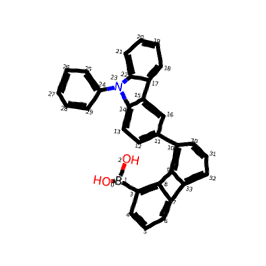 OB(O)c1cccc2c1-c1c(-c3ccc4c(c3)c3ccccc3n4-c3ccccc3)cccc1-2